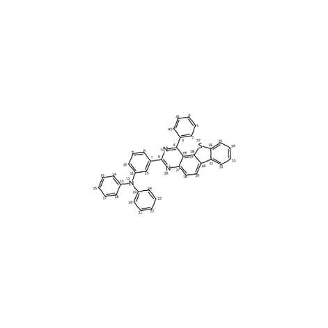 c1ccc(-c2nc(-c3cccc(N(c4ccccc4)c4ccccc4)c3)nc3ccc4c5ccccc5sc4c23)cc1